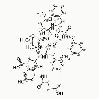 Cc1ccccc1C[C@H](NC(=O)[C@H](CCC(=O)O)NC(=O)[C@H](CC(=O)O)NC(=O)CCC(=O)O)C(=O)N[C@H](C(=O)N[C@@H](CC(C)C)C(=O)N[C@@H](Cc1ccccc1)C(OC=O)C(=O)NCc1ccccc1)C(C)(C)C